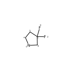 FC1(F)CC[N]C1